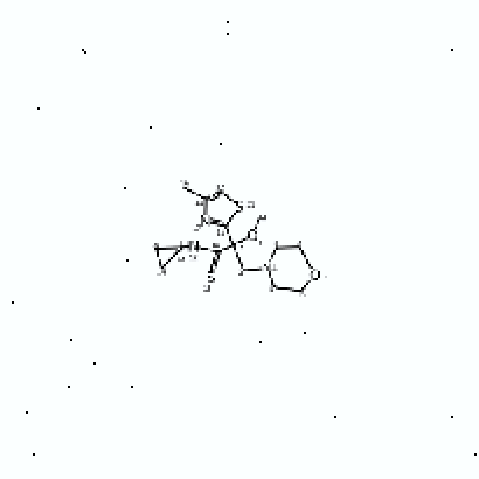 COC(CN1CCOCC1)(C(=S)NC1CC1)c1nc(C)cs1